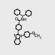 COc1ccc(-n2c(-c3ccc(C(=O)NC(c4ccccc4)c4ccccc4)cc3)nc3ccccc32)cc1